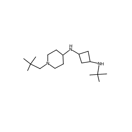 CC(C)(C)CN1CCC(NC2CC(NC(C)(C)C)C2)CC1